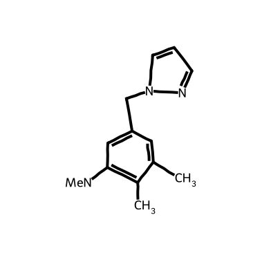 CNc1cc(Cn2cccn2)cc(C)c1C